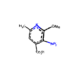 CCOC(=O)c1cc(C)nc(OC)c1N